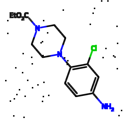 CCOC(=O)N1CCN(c2ccc(N)cc2Cl)CC1